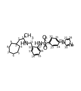 C[C@@H](CC1CCCCCC1)NCc1ccccc1NS(=O)(=O)c1ccc(-n2ccnc2)cc1